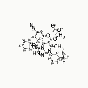 COC(=O)C1=C(C)N(c2cccc(C(F)(F)F)c2)c2n[nH]c(=O)n2[C@@H]1c1ccc(C#N)cc1C[n+]1ccccc1.O=C[O-]